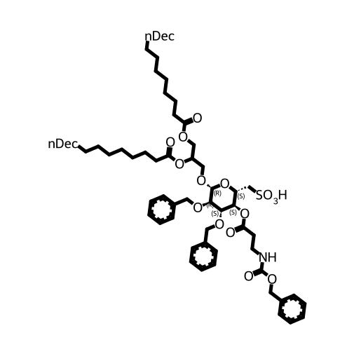 CCCCCCCCCCCCCCCCCC(=O)OCC(CO[C@@H]1O[C@H](CS(=O)(=O)O)[C@@H](OC(=O)CCNC(=O)OCc2ccccc2)[C@H](OCc2ccccc2)[C@H]1OCc1ccccc1)OC(=O)CCCCCCCCCCCCCCCCC